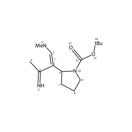 CN/C=C(\C(C)=N)C1CCCN1C(=O)OC(C)(C)C